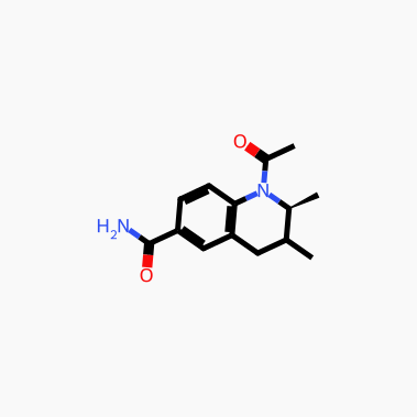 CC(=O)N1c2ccc(C(N)=O)cc2CC(C)[C@@H]1C